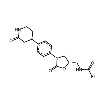 CCC(=O)NC[C@H]1CN(c2ccc(C3CCNC(=O)C3)cc2)C(=O)O1